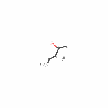 CC(O)CCC(=O)O.[LiH]